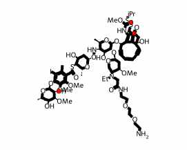 CCN(CC(=O)NCCOCCOCCN)[C@H]1CO[C@@H](O[C@H]2[C@H](O[C@H]3C#C/C=C\C#C[C@]4(O)CC(=O)C(NC(=O)OC)=C3/C4=C\CSSC(C)C)O[C@H](C)[C@@H](NO[C@H]3C[C@H](O)[C@H](SC(=O)c4c(C)c(I)c(O[C@@H]5O[C@@H](C)[C@H](O)[C@@H](OC)[C@H]5O)c(OC)c4OC)[C@@H](C)O3)[C@@H]2O)C[C@@H]1OC